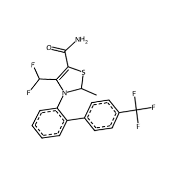 CC1SC(C(N)=O)=C(C(F)F)N1c1ccccc1-c1ccc(C(F)(F)F)cc1